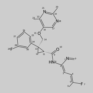 C=N/C(=C\C=C(/C)F)NC(=O)[C@@H]1C[C@@]1(COc1cnc(C)nc1C)c1cccc(F)c1